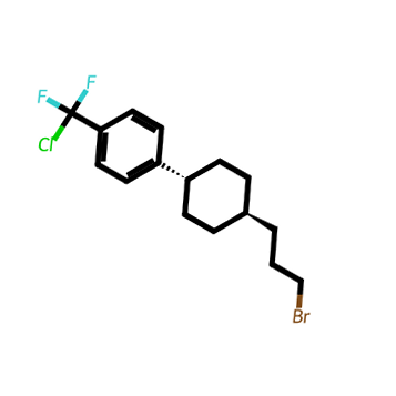 FC(F)(Cl)c1ccc([C@H]2CC[C@H](CCCBr)CC2)cc1